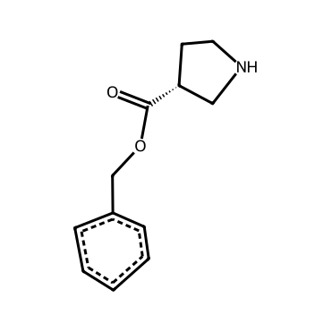 O=C(OCc1ccccc1)[C@@H]1CCNC1